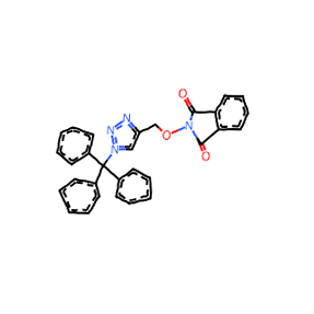 O=C1c2ccccc2C(=O)N1OCc1cn(C(c2ccccc2)(c2ccccc2)c2ccccc2)nn1